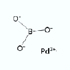 [O-]B([O-])[O-].[Pd+3]